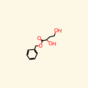 O=C(OCc1ccccc1)[C@H](O)CCO